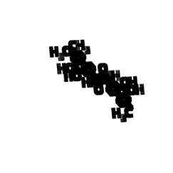 CCc1ccc2c(c1)C(O)C(O)c1cc(C3=C4C(=O)NC(c5ccc6c(c5)C(O)C(O)c5cc(C(C)C)ccc5-6)=C4C(=O)N3)ccc1-2